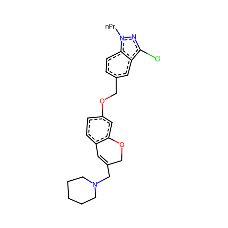 CCCn1nc(Cl)c2cc(COc3ccc4c(c3)OCC(CN3CCCCC3)=C4)ccc21